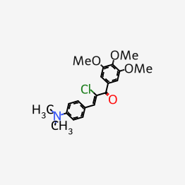 COc1cc(C(=O)/C(Cl)=C/c2ccc(N(C)C)cc2)cc(OC)c1OC